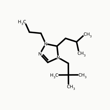 CCCN1N=CN(CC(C)(C)C)C1CC(C)C